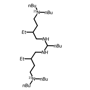 CCCCC(NCC(CC)CC[15N](CCCC)CCCC)NCC(CC)CC[15N](CCCC)CCCC